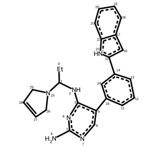 CCC(Nc1nc(N)ncc1-c1cccc(-c2cc3ccccc3[nH]2)c1)N1CC=CC1